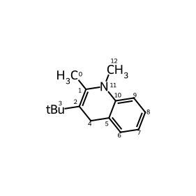 CC1=C(C(C)(C)C)Cc2ccccc2N1C